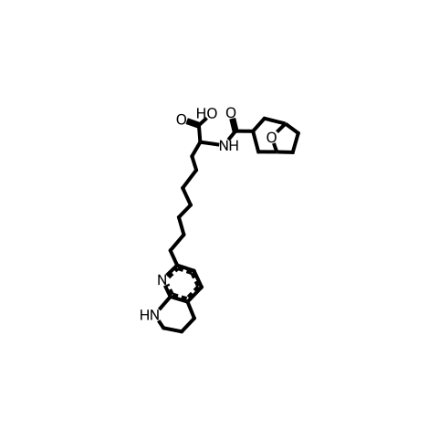 O=C(NC(CCCCCCCc1ccc2c(n1)NCCC2)C(=O)O)C1CC2CCC(C1)O2